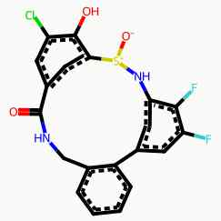 O=C1NCc2ccccc2-c2cc(F)c(F)c(c2)N[S+]([O-])c2cc1cc(Cl)c2O